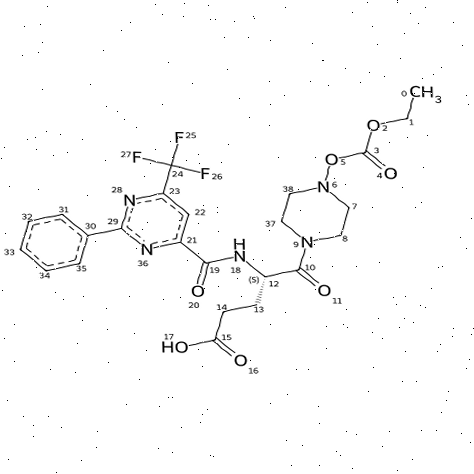 CCOC(=O)ON1CCN(C(=O)[C@H](CCC(=O)O)NC(=O)c2cc(C(F)(F)F)nc(-c3ccccc3)n2)CC1